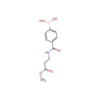 COC(=O)CCNC(=O)c1ccc(B(O)O)cc1